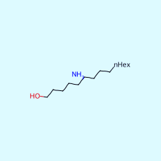 CCCCCCCCCCCCCCCO.N